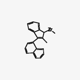 [CH3][Zr][CH]1C(C)=C(c2cccc3ccccc23)c2ccccc21